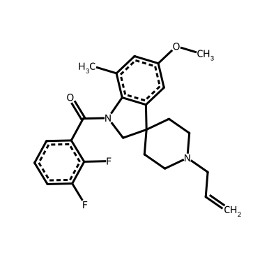 C=CCN1CCC2(CC1)CN(C(=O)c1cccc(F)c1F)c1c(C)cc(OC)cc12